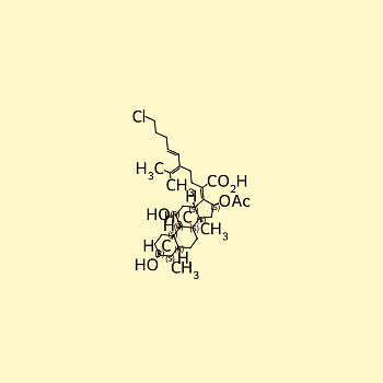 CC(=O)O[C@H]1C[C@@]2(C)[C@H](C[C@@H](O)[C@@H]3[C@@]4(C)CC[C@@H](O)[C@@H](C)[C@H]4CC[C@@]32C)C1=C(CCC(C=CCCCCl)=C(C)C)C(=O)O